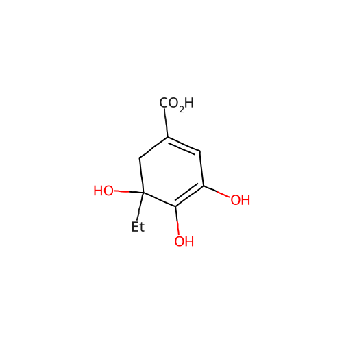 CCC1(O)CC(C(=O)O)=CC(O)=C1O